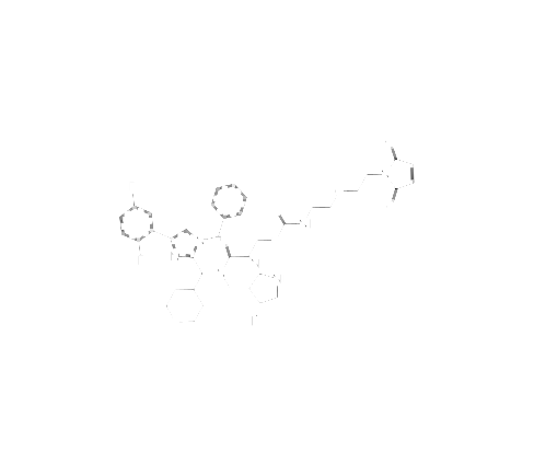 N[C@@H](COC(=O)NCCOCCN1C(=O)C=CC1=O)C(=O)N(C[C@@H]1CNC[C@@H]1F)[C@@H](c1nc(-c2cc(F)ccc2F)cn1Cc1ccccc1)C1CCOCC1